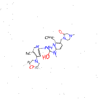 C[C@@H]1CN(c2cc(NC(O)N(C)c3ccc(CN4CCN(C)CC4=O)c(C=O)n3)ncc2C#N)C[C@H](C)O1